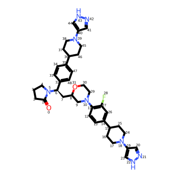 O=C1CCCN1[C@H](CC1CN(c2ccc(C3CCN(c4cn[nH]c4)CC3)cc2F)CCO1)c1ccc(C2CCN(c3cn[nH]c3)CC2)cc1